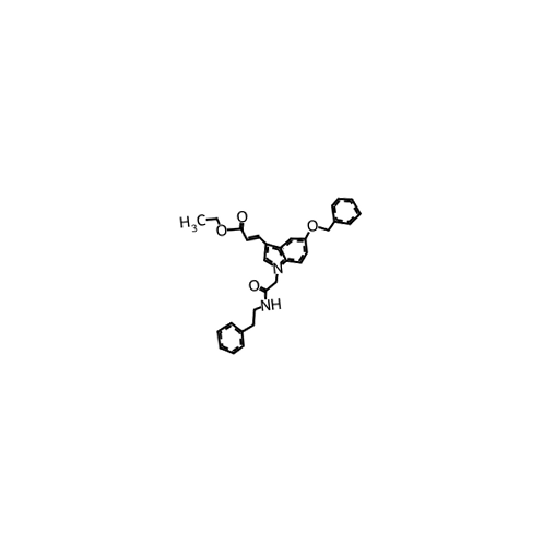 CCOC(=O)C=Cc1cn(CC(=O)NCCc2ccccc2)c2ccc(OCc3ccccc3)cc12